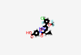 O=C(O)c1ccc(NC(=O)[C@H](CC2CC2)c2ccc(-c3c(OC(F)F)ccc(Cl)c3F)c[n+]2[O-])cc1